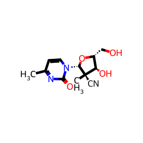 Cc1ccn([C@@H]2O[C@H](CO)[C@@H](O)[C@@]2(C)C#N)c(=O)n1